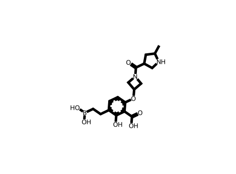 CC1CC(C(=O)N2CC(Oc3ccc(CCB(O)O)c(O)c3C(=O)O)C2)CN1